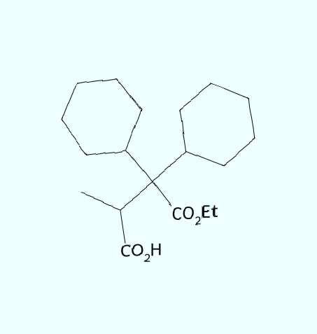 CCOC(=O)C(C1CCCCC1)(C1CCCCC1)C(C)C(=O)O